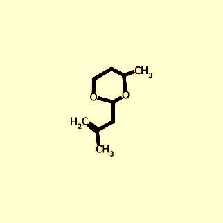 C=C(C)CC1OCCC(C)O1